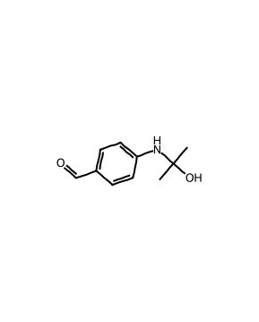 CC(C)(O)Nc1ccc(C=O)cc1